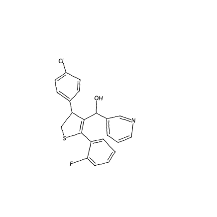 OC(C1=C(c2ccccc2F)SCC1c1ccc(Cl)cc1)c1cccnc1